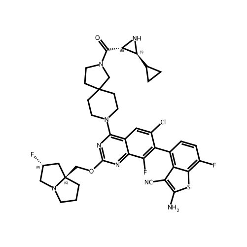 N#Cc1c(N)sc2c(F)ccc(-c3c(Cl)cc4c(N5CCC6(CCN(C(=O)[C@@H]7N[C@H]7C7CC7)C6)CC5)nc(OC[C@@]56CCCN5C[C@H](F)C6)nc4c3F)c12